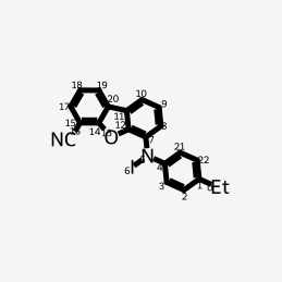 CCc1ccc(N(I)c2cccc3c2oc2c(C#N)cccc23)cc1